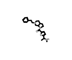 CNC(C)c1ccc(C(=O)N2CCC3CCN(CCc4ccccc4)CC32)o1